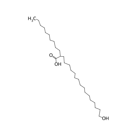 CCCCCCCCCCC(CCCCCCCCCCCCCCCCO)C(=O)O